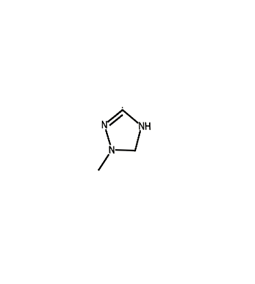 CN1CN[C]=N1